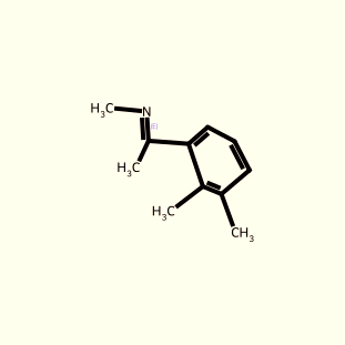 C/N=C(\C)c1cccc(C)c1C